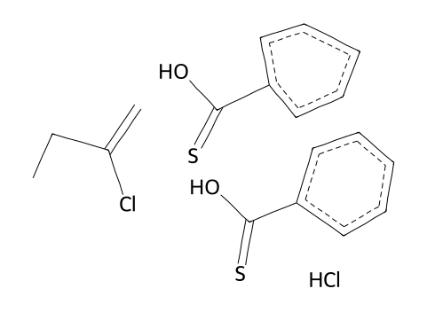 C=C(Cl)CC.Cl.OC(=S)c1ccccc1.OC(=S)c1ccccc1